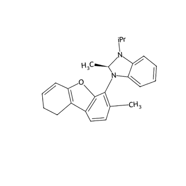 Cc1ccc2c3c(oc2c1N1c2ccccc2N(C(C)C)[C@@H]1C)C=CCC3